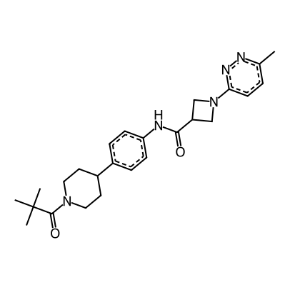 Cc1ccc(N2CC(C(=O)Nc3ccc(C4CCN(C(=O)C(C)(C)C)CC4)cc3)C2)nn1